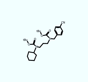 CC(C)(C)OC(=O)N(CCCN(C(=O)OC(C)(C)C)C1CCCCC1)Cc1ccc(C#N)cc1